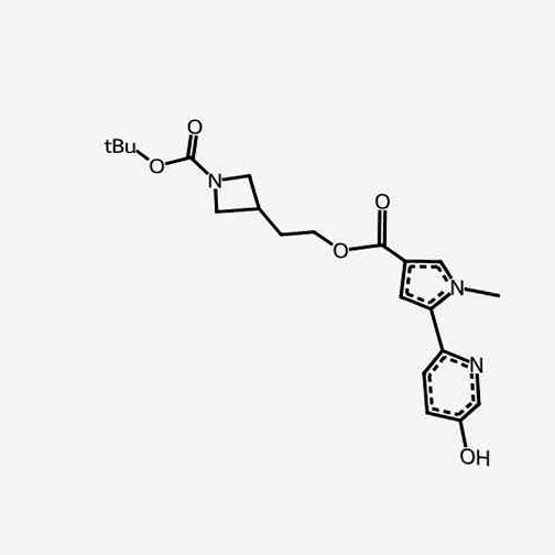 Cn1cc(C(=O)OCCC2CN(C(=O)OC(C)(C)C)C2)cc1-c1ccc(O)cn1